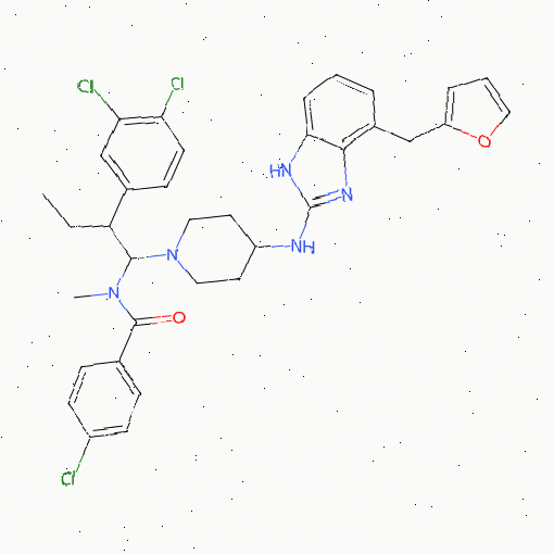 CCC(c1ccc(Cl)c(Cl)c1)C(N1CCC(Nc2nc3c(Cc4ccco4)cccc3[nH]2)CC1)N(C)C(=O)c1ccc(Cl)cc1